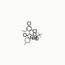 CCc1cc(Cl)cc(Cl)c1C1=C(OC(=O)C(C)(C)C)NC2(CCC(C)CC2)C1=O